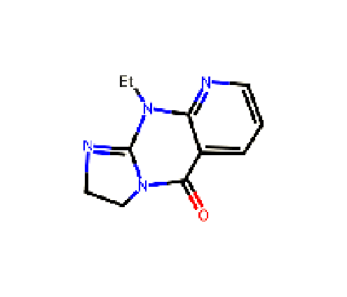 CCN1C2=NCCN2C(=O)c2cccnc21